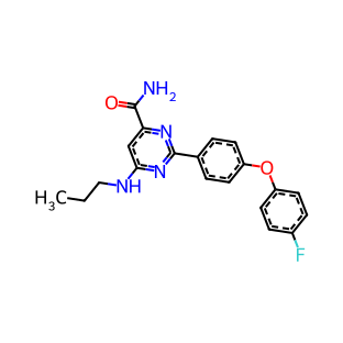 CCCNc1cc(C(N)=O)nc(-c2ccc(Oc3ccc(F)cc3)cc2)n1